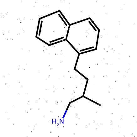 CC(CN)CCc1cccc2ccccc12